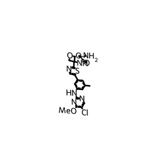 COc1nc(Nc2cc(C)cc(-c3cnc(C4(NS(N)(=O)=O)COC4)s3)c2)ncc1Cl